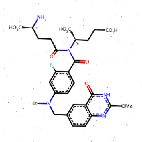 CCN(Cc1ccc2nc(OC)[nH]c(=O)c2c1)c1ccc(C(=O)N(C(=O)CC[C@H](N)C(=O)O)[C@H](CCC(=O)O)C(=O)O)c(F)c1